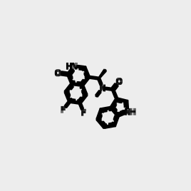 C[C@H](c1c[nH]c(=O)c2cc(F)c(F)cc12)N(C)C(=O)c1c[nH]c2ccccc12